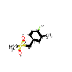 Cc1cc([CH]S(C)(=O)=O)ccc1F